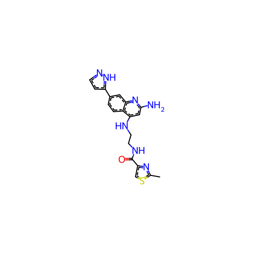 Cc1nc(C(=O)NCCNc2cc(N)nc3cc(-c4ccn[nH]4)ccc23)cs1